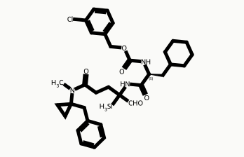 CN(C(=O)CCC([SiH3])(C=O)NC(=O)[C@H](CC1CCCCC1)NC(=O)OCc1cccc(Cl)c1)C1(Cc2ccccc2)CC1